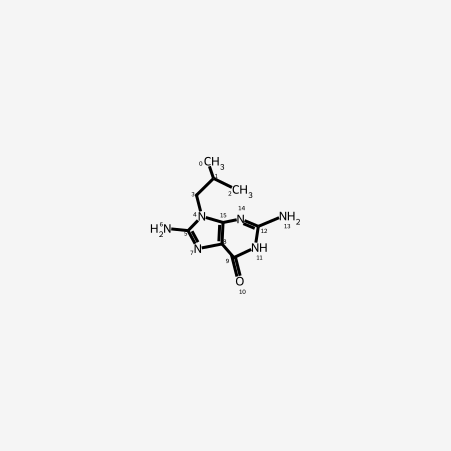 CC(C)Cn1c(N)nc2c(=O)[nH]c(N)nc21